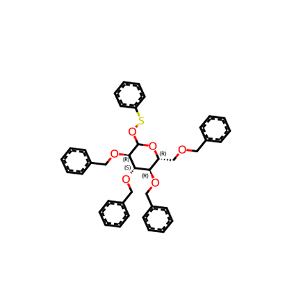 c1ccc(COC[C@H]2OC(OSc3ccccc3)[C@H](OCc3ccccc3)[C@@H](OCc3ccccc3)[C@@H]2OCc2ccccc2)cc1